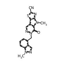 Cn1ncc2c(Cn3ncc4c5sc(C#N)nc5n(C)c4c3=O)cccc21